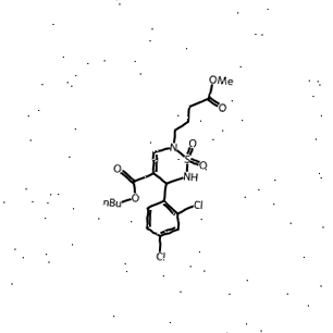 CCCCOC(=O)C1=CN(CCCC(=O)OC)S(=O)(=O)NC1c1ccc(Cl)cc1Cl